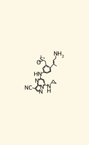 CC(=CCN)c1ccc(Nc2cc(NC3CC3)n3ncc(C#N)c3n2)cc1C[S+](C)[O-]